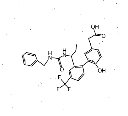 CCC(NC(=O)NCc1ccccc1)c1cc(C(F)(F)F)ccc1-c1cc(CC(=O)O)ccc1O